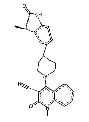 C[C@H]1C(=O)Nc2ccc(C3CCN(c4c(C#N)c(=O)n(C)c5ccccc45)CC3)cc21